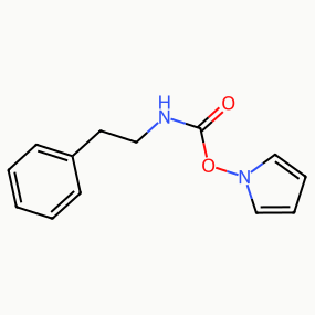 O=C(NCCc1ccccc1)On1cccc1